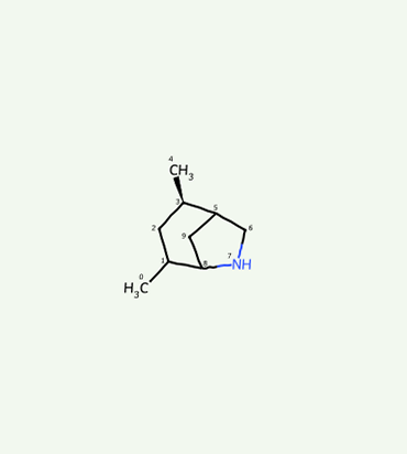 CC1C[C@@H](C)C2CNC1C2